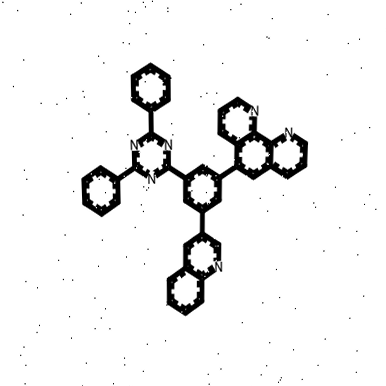 c1ccc(-c2nc(-c3ccccc3)nc(-c3cc(-c4cnc5ccccc5c4)cc(-c4cc5cccnc5c5ncccc45)c3)n2)cc1